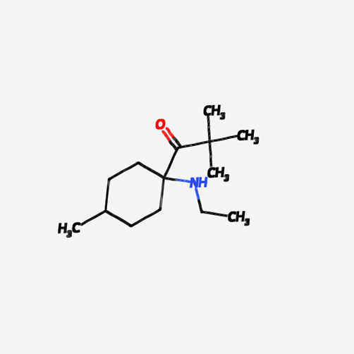 CCNC1(C(=O)C(C)(C)C)CCC(C)CC1